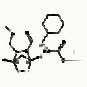 COCC1[C@H]2CC[C@H](C2)N1C(=O)[C@@H](NC(=O)OC(C)(C)C)C1CCCCC1